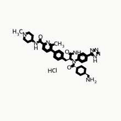 Cc1nc(C(=O)NC2CCN(C)CC2)ccc1-c1ccc(C[C@@H](C(N)=O)N(c2ccc(-c3nnn[nH]3)cc2)C(=O)[C@H]2CC[C@H](CN)CC2)cc1.Cl